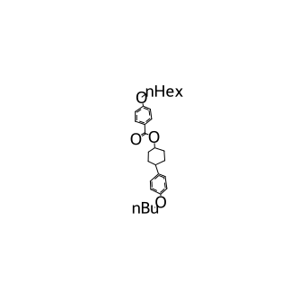 CCCCCCOc1ccc(C(=O)OC2CCC(c3ccc(OCCCC)cc3)CC2)cc1